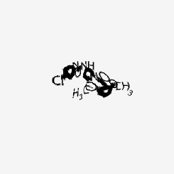 COc1cccc(OC)c1C(=O)N1CC[C@@H](Nc2nc3ccc(Cl)cc3o2)C1